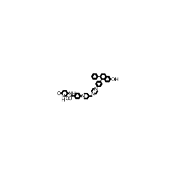 O=C1CCC(NC(=O)c2ccc(N3CCC(CN4CCN(c5ccc([C@@H]6c7ccc(O)cc7CC[C@@H]6c6ccccc6)cc5)CC4)CC3)cc2)C(=O)N1